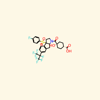 O=C(O)[C@H]1CC[C@](O)(C(=O)N2CCC3(S(=O)(=O)c4ccc(F)cc4)c4ccc(C(F)(C(F)(F)F)C(F)(F)F)cc4CC23)CC1